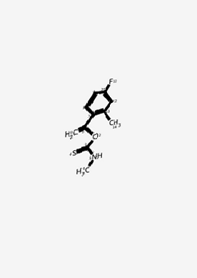 C=C(OC(=S)NC)c1ccc(F)cc1C